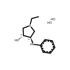 CCN1C[C@@H](O)[C@H](Nc2ccccc2)C1.Cl.Cl